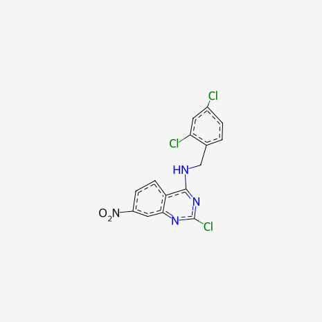 O=[N+]([O-])c1ccc2c(NCc3ccc(Cl)cc3Cl)nc(Cl)nc2c1